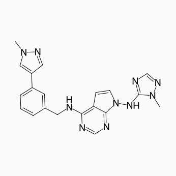 Cn1cc(-c2cccc(CNc3ncnc4c3ccn4Nc3ncnn3C)c2)cn1